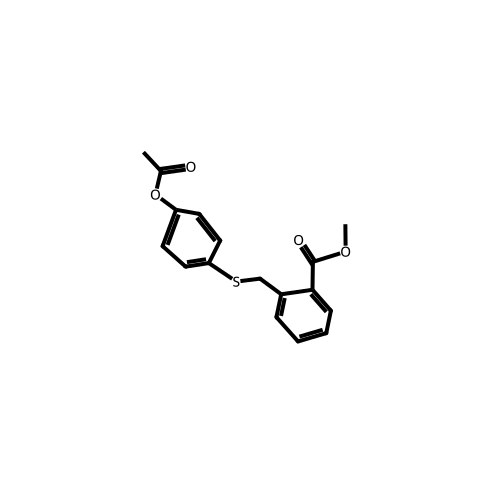 COC(=O)c1ccccc1CSc1ccc(OC(C)=O)cc1